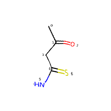 CC(=O)CC([NH])=S